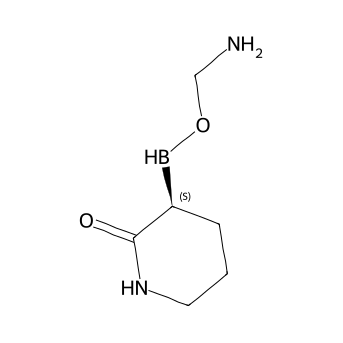 NCOB[C@H]1CCCNC1=O